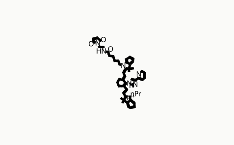 CCC[N+]1=C(/C=C/C2=C(n3cc(-c4ccccn4)nn3)C(=C/C=C3/N(CCCCCC(=O)NCCN4C(=O)C=CC4=O)c4ccccc4C3(C)C)/CCC2)C(C)(C)c2ccccc21